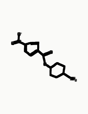 NC1CCC(OC(=O)c2ccc([N+](=O)[O-])cc2)CC1